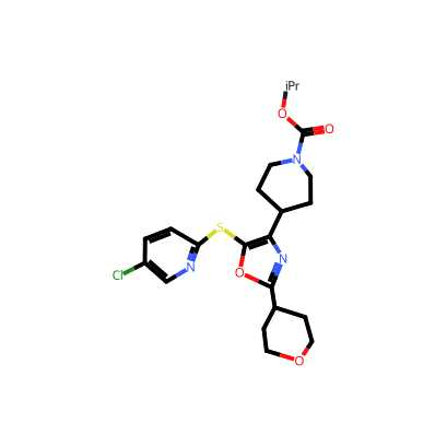 CC(C)OC(=O)N1CCC(c2nc(C3CCOCC3)oc2Sc2ccc(Cl)cn2)CC1